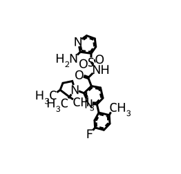 Cc1ccc(F)cc1-c1ccc(C(=O)NS(=O)(=O)c2cccnc2N)c(N2CCC(C)C2(C)C)n1